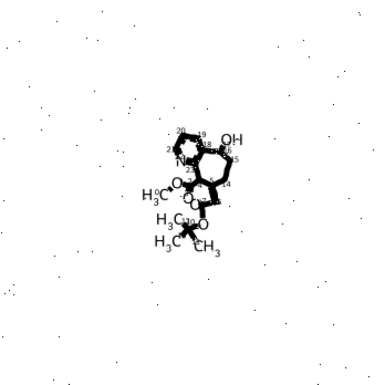 COC(=O)C1/C(=C\C(=O)OC(C)(C)C)CCC(O)c2cccnc21